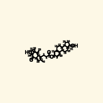 CC1=C(CCC(=O)Oc2ccc3c(c2)CCC2C3CC[C@]3(C)C(O)CCC23)C2=C(C)C3(CC3)[C@@](C)(O)C(=O)C2=C1